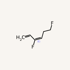 C=C/C(F)=C\CCF